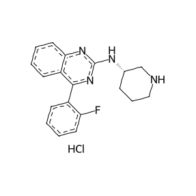 Cl.Fc1ccccc1-c1nc(N[C@H]2CCCNC2)nc2ccccc12